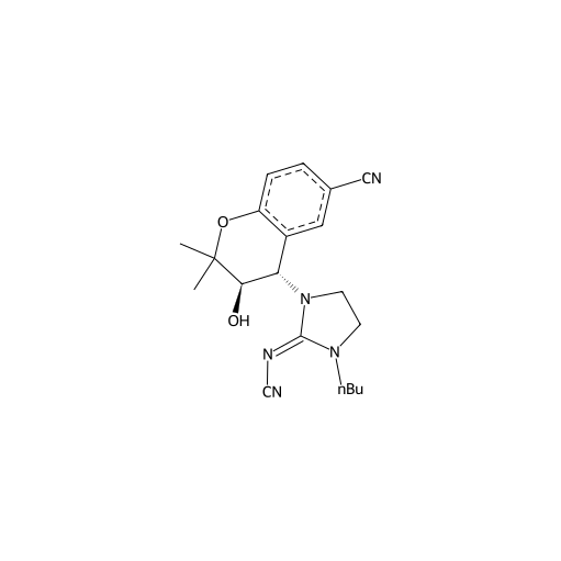 CCCCN1CCN([C@H]2c3cc(C#N)ccc3OC(C)(C)[C@@H]2O)C1=NC#N